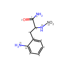 NC(=O)C(Cc1ccccc1N)N[N+](=O)[O-]